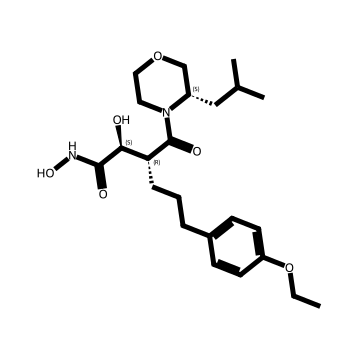 CCOc1ccc(CCC[C@@H](C(=O)N2CCOC[C@@H]2CC(C)C)[C@H](O)C(=O)NO)cc1